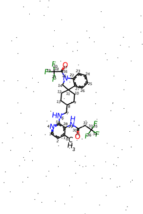 Cc1ccnc(NCC2CCC3(CC2)CN(C(=O)C(F)(F)F)c2ccccc23)c1NC(=O)CC(F)(F)F